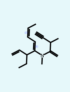 C#CC(C)C(=C)N(C)/C(=C/C=C\C)C(C=C)CC